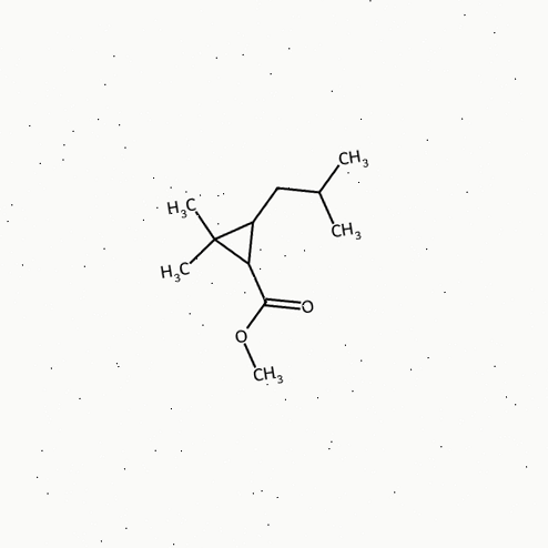 COC(=O)C1C(CC(C)C)C1(C)C